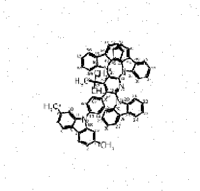 Cc1ccc2c3ccc(C)cc3n(-c3ccc(-c4c(-n5c6ccccc6c6ccccc65)nc(-n5c6ccccc6c6ccccc65)c(-n5c6ccccc6c6ccccc65)c4C(C)(C)C)cc3)c2c1